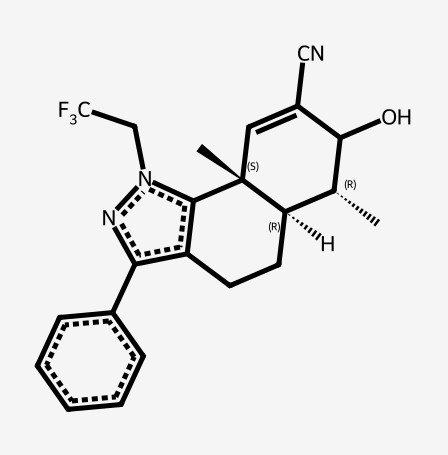 C[C@H]1C(O)C(C#N)=C[C@@]2(C)c3c(c(-c4ccccc4)nn3CC(F)(F)F)CC[C@H]12